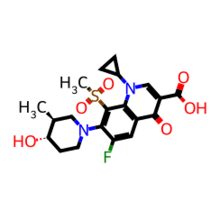 C[C@H]1CN(c2c(F)cc3c(=O)c(C(=O)O)cn(C4CC4)c3c2S(C)(=O)=O)CC[C@@H]1O